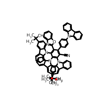 CC(C)(C)c1ccc2c(c1)c1ccccc1n2-c1c(C#N)c(-c2ccc(-n3c4ccccc4c4ccccc43)cc2)c(-c2nc3ccccc3o2)c(-n2c3ccccc3c3cc(C(C)(C)C)ccc32)c1-n1c2ccccc2c2cc(C(C)(C)C)ccc21